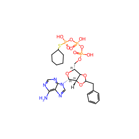 Nc1ncnc2c1ncn2[C@@H]1O[C@H](COP(=O)(O)OP(=O)(O)OP(=O)(O)SC2CCCCC2)C2OC(Cc3ccccc3)O[C@@H]21